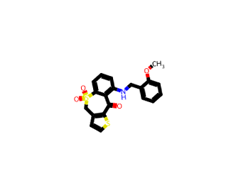 COc1ccccc1CNc1cccc2c1C(=O)c1sccc1CS2(=O)=O